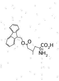 CC(CC(=O)OCC1c2ccccc2-c2ccccc21)C[C@H](N)C(=O)O